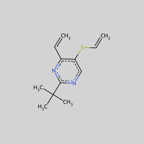 C=CSc1cnc(C(C)(C)C)nc1C=C